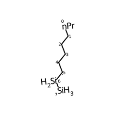 CCCCCCC[CH][SiH2][SiH3]